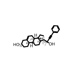 C[C@]12CC[C@H]3[C@@H](CC=C4C[C@@H](O)CC[C@@]43C)[C@@H]1CC[C@@H]2[C@](C)(O)C#Cc1ccccc1